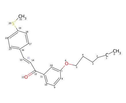 CCCCCCOc1cccc(C(=O)/C=C/c2ccc(SC)cc2)c1